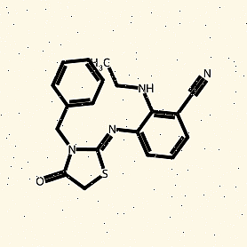 CCNc1c(C#N)cccc1/N=C1\SCC(=O)N1Cc1ccccc1